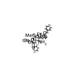 CCOC(OC)O[C@@H]([C@H](CC1CCCCC1)NC(=O)OC(C)(C)C)[C@@H](N)CNC(C)C(=O)OCc1ccccc1